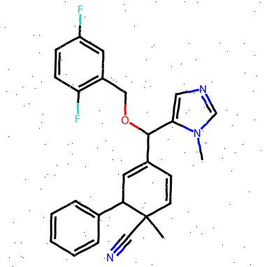 Cn1cncc1C(OCc1cc(F)ccc1F)C1=CC(c2ccccc2)C(C)(C#N)C=C1